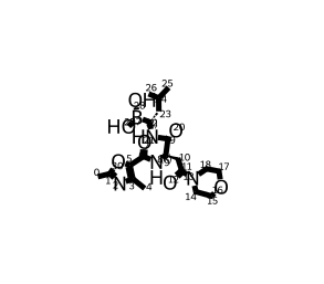 Cc1nc(C)c(C(=O)N[C@H](CC(=O)N2CCOCC2)C(=O)N[C@@H](CC(C)C)B(O)O)o1